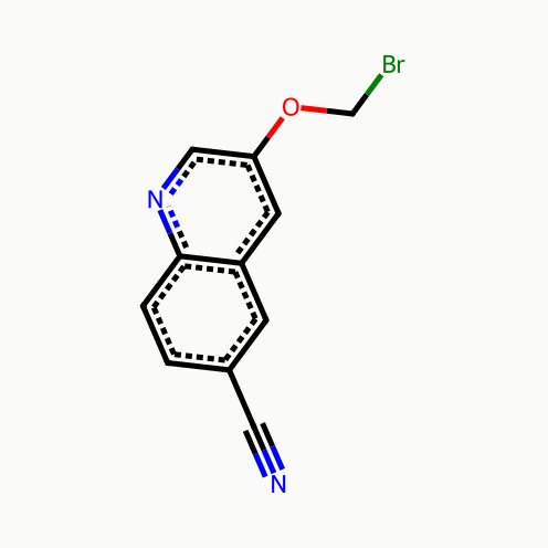 N#Cc1ccc2ncc(OCBr)cc2c1